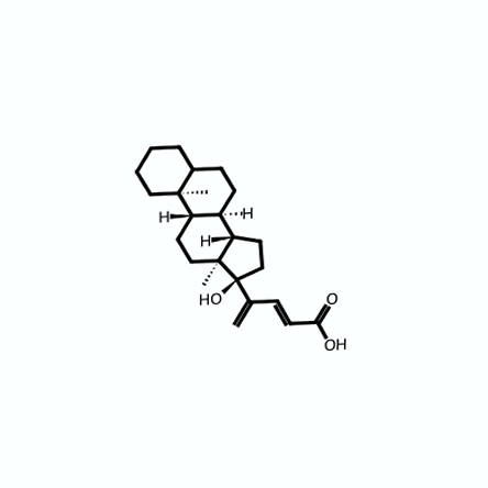 C=C(/C=C/C(=O)O)[C@@]1(O)CC[C@H]2[C@@H]3CCC4CCCC[C@]4(C)[C@H]3CC[C@@]21C